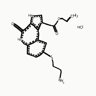 CCOC(=O)c1c[nH]c2c(=O)[nH]c3ccc(SCCN)cc3c12.Cl